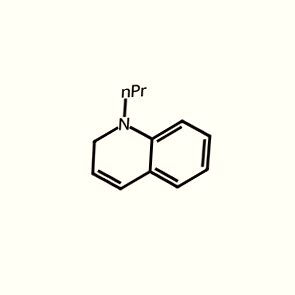 CCCN1CC=Cc2ccccc21